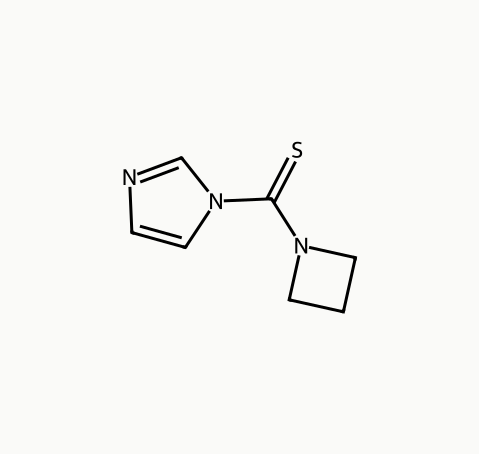 S=C(N1CCC1)n1ccnc1